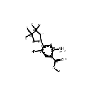 COC(=O)c1cc(F)c(B2CC(C)(C)C(C)(C)C2)cc1N